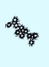 CC12CCCCC1(C)N(c1ccncc1)c1ccc(-c3ccc4c(c3)C3(c5ccccc5-c5ccccc53)c3cc(-c5ccc6c(c5)C5(C)CCCCC5(C)N6c5ccncc5)ccc3-4)cc12